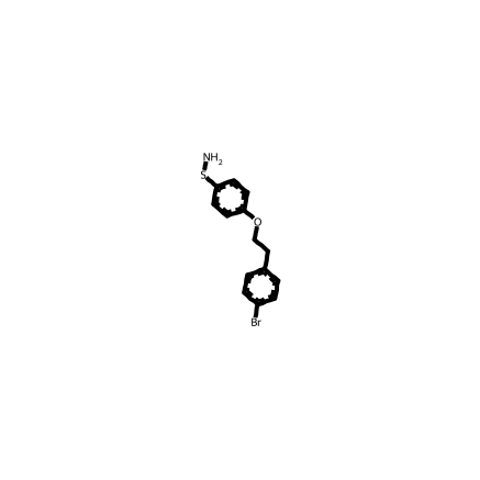 NSc1ccc(OCCc2ccc(Br)cc2)cc1